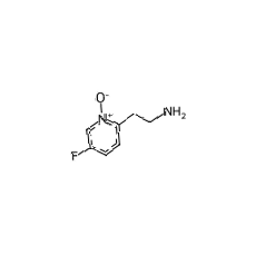 NCCc1ccc(F)c[n+]1[O-]